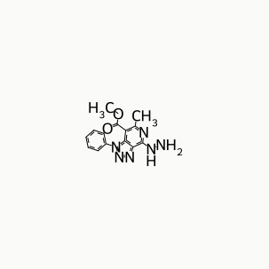 COC(=O)c1c(C)nc(NN)c2nnn(-c3ccccc3)c12